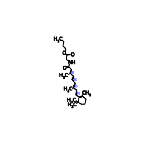 CCCCOC(=O)CNC(=O)/C=C(C)/C=C/C=C(C)/C=C/C1=C(C)CCCC1(C)C